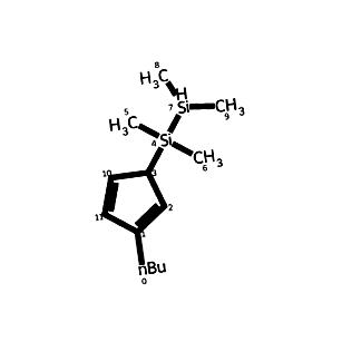 CCCCC1=CC([Si](C)(C)[SiH](C)C)C=C1